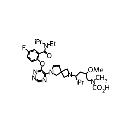 CCN(C(=O)c1cc(F)ccc1Oc1nncnc1N1CCC2(C1)CN(C(CC(CN(C)C(=O)O)OC)C(C)C)C2)C(C)C